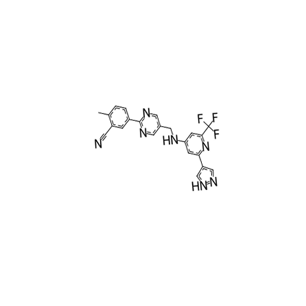 Cc1ccc(-c2ncc(CNc3cc(-c4cn[nH]c4)nc(C(F)(F)F)c3)cn2)cc1C#N